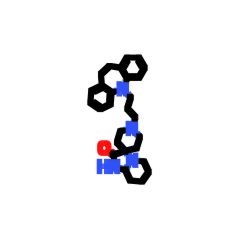 O=C1NC2CCCCN2C12CCN(CCCN1c3ccccc3CCc3ccccc31)CC2